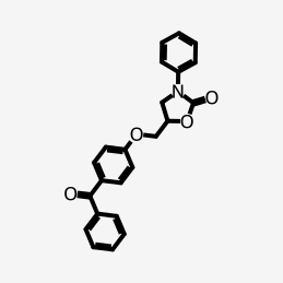 O=C(c1ccccc1)c1ccc(OCC2CN(c3ccccc3)C(=O)O2)cc1